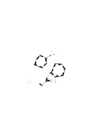 C=Cc1nc2ccccc2s1.O=[N+]([O-])c1ccccc1